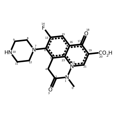 CN1C(=O)Cc2c(N3CCNCC3)c(F)cc3c(=O)c(C(=O)O)cn1c23